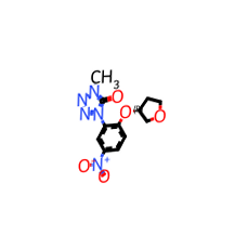 Cn1nnn(-c2cc([N+](=O)[O-])ccc2O[C@@H]2CCOC2)c1=O